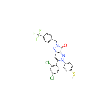 CSc1ccc(-n2nc3c(=O)n(Cc4ccc(C(F)(F)F)cc4)nc-3cc2-c2ccc(Cl)cc2Cl)cc1